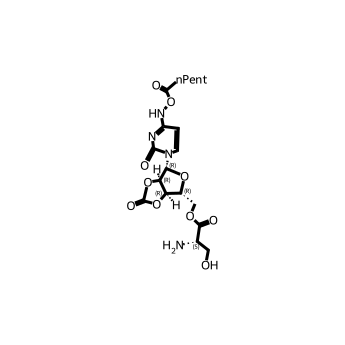 CCCCCC(=O)ONc1ccn([C@@H]2O[C@H](COC(=O)[C@@H](N)CO)[C@H]3OC(=O)O[C@H]32)c(=O)n1